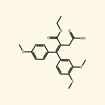 CCOC(=O)/C(CC(=O)O)=C(\c1ccc(SC)cc1)c1ccc(SC)c(SC)c1